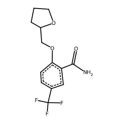 NC(=O)c1cc(C(F)(F)F)ccc1OCC1CCCO1